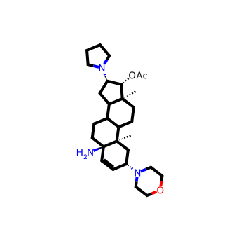 CC(=O)O[C@H]1[C@@H](N2CCCC2)CC2C3CC[C@@]4(N)C=C[C@@H](N5CCOCC5)C[C@]4(C)C3CC[C@@]21C